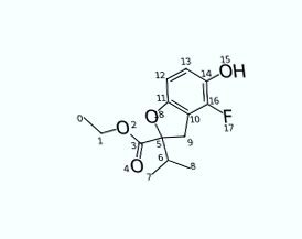 CCOC(=O)C1(C(C)C)Cc2c(ccc(O)c2F)O1